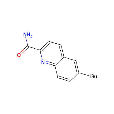 CCC(C)c1ccc2nc(C(N)=O)ccc2c1